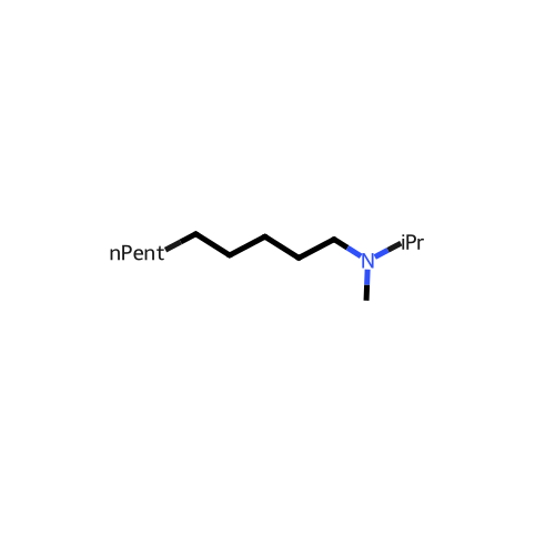 CCCCCCCCCCN(C)C(C)C